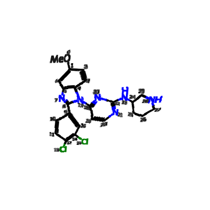 COc1ccc2c(c1)nc(-c1ccc(Cl)c(Cl)c1)n2-c1ccnc(NC2CCCNC2)n1